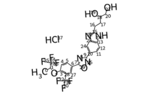 CC(Oc1ccc(-c2nc(-c3ccc4[nH]c(CCC(O)CO)nc4c3)no2)cc1C(F)(F)F)C(F)(F)F.Cl